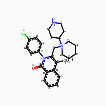 O=C(O)c1c(C[N+]2(C3CCNCC3)CCCCC2)n(-c2ccc(Cl)cc2)c(=O)c2ccccc12